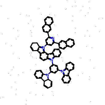 C1=CC2c3ccccc3N(c3cc(-n4c5ccccc5c5ccccc54)cc(-n4c5ccccc5c5c6c(ccc54)c4c(n6-c5cc(-c6ccc7ccccc7c6)nc(-c6ccc7ccccc7c6)c5)CCC=C4)c3)C2C=C1